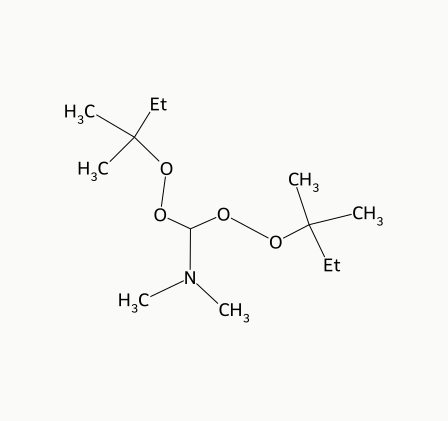 CCC(C)(C)OOC(OOC(C)(C)CC)N(C)C